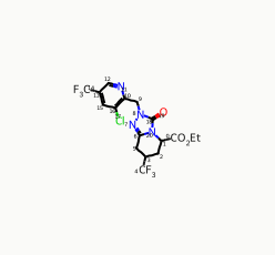 CCOC(=O)C1CC(C(F)(F)F)Cc2nn(Cc3ncc(C(F)(F)F)cc3Cl)c(=O)n21